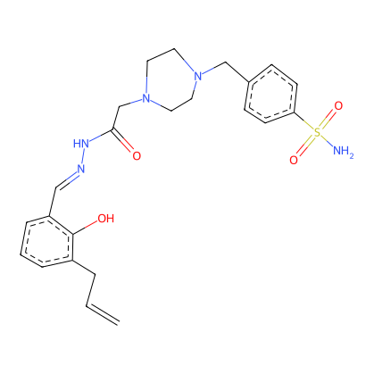 C=CCc1cccc(C=NNC(=O)CN2CCN(Cc3ccc(S(N)(=O)=O)cc3)CC2)c1O